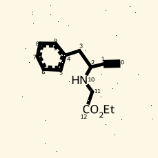 C#CC(Cc1ccccc1)NCC(=O)OCC